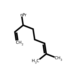 C=CC(CCC)CCC=C(C)C